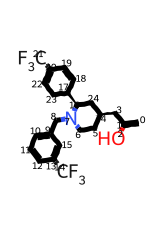 C=C(O)C[C@H]1CCN(Cc2cccc(C(F)(F)F)c2)[C@@H](C2C=CC(C(F)(F)F)=CC2)C1